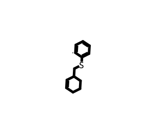 [c]1ccccc1SCC1C=CCCC1